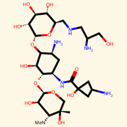 CN[C@@H]1[C@@H](O)[C@@H](O[C@H]2[C@H](NC(=O)C3(O)CC(N)C3)C[C@H](N)C(O[C@H]3O[C@H](CNCC(N)CO)[C@@H](O)[C@H](O)[C@H]3O)[C@@H]2O)OC[C@]1(C)O